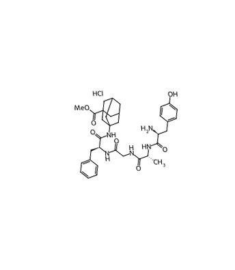 COC(=O)C12CC3CC(CC(NC(=O)[C@H](Cc4ccccc4)NC(=O)CNC(=O)[C@@H](C)NC(=O)[C@@H](N)Cc4ccc(O)cc4)(C3)C1)C2.Cl